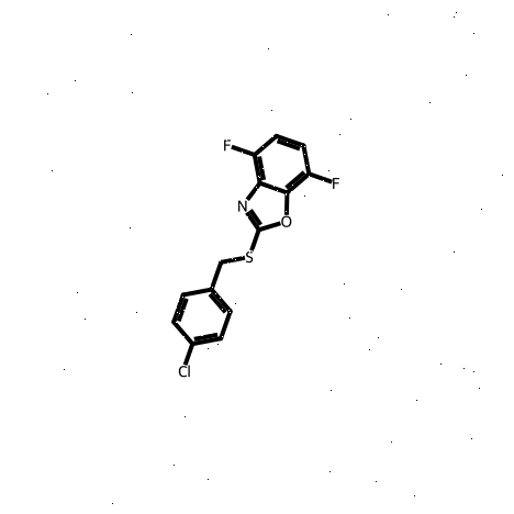 Fc1ccc(F)c2oc(SCc3ccc(Cl)cc3)nc12